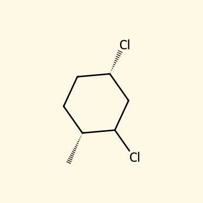 C[C@@H]1CC[C@H](Cl)CC1Cl